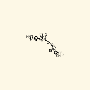 CC[C@H]1CC(OCCOCCN2CC(=O)N(CC)c3nc(-c4ccc(-c5nc[nH]n5)nc4C)cnc32)CCN1c1ccc(C#N)c(C(F)(F)F)c1